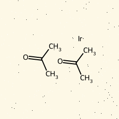 CC(C)=O.CC(C)=O.[Ir]